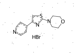 Br.c1cc(-c2csc(N3CCOCC3)n2)ccn1